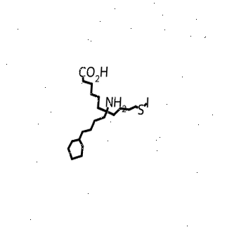 NC(CCCCCC(=O)O)(CCCCSI)CCCCC1CCCCC1